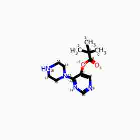 CC(C)(C)C(=O)Oc1cncnc1N1CCNCC1